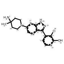 CC1(N)CCN(c2cnc3c(-c4ccnc(O)c4Cl)n[nH]c3n2)CC1